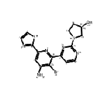 Nc1cc(-c2nccs2)nc(-c2ccnc(N3CC[C@@H](O)C3)n2)c1Br